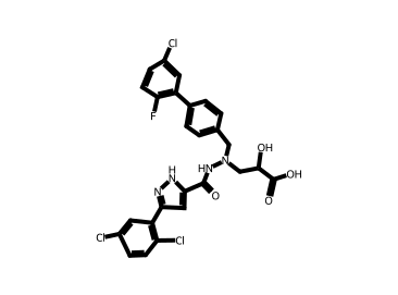 O=C(NN(Cc1ccc(-c2cc(Cl)ccc2F)cc1)CC(O)C(=O)O)c1cc(-c2cc(Cl)ccc2Cl)n[nH]1